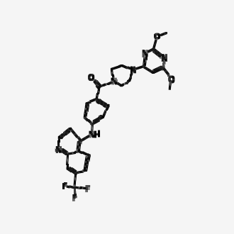 COc1cc(N2CCN(C(=O)c3ccc(Nc4ccnc5cc(C(F)(F)F)ccc45)cc3)CC2)nc(OC)n1